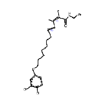 CC(/C=C/CCCCCCCOc1ccc(Cl)c(Cl)c1)=C(\F)C(=O)NCC(C)C